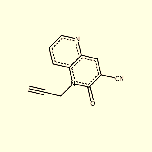 C#CCn1c(=O)c(C#N)cc2ncccc21